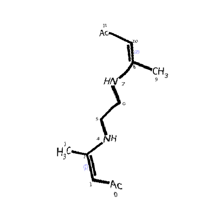 CC(=O)/C=C(/C)NCCN/C(C)=C\C(C)=O